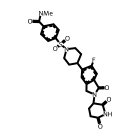 CNC(=O)c1ccc(S(=O)(=O)N2CCC(c3cc4c(cc3F)C(=O)N(C3CCC(=O)NC3=O)C4)CC2)cc1